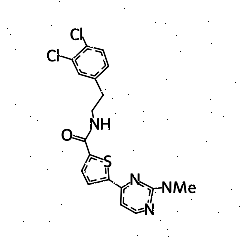 CNc1nccc(-c2ccc(C(=O)NCCc3ccc(Cl)c(Cl)c3)s2)n1